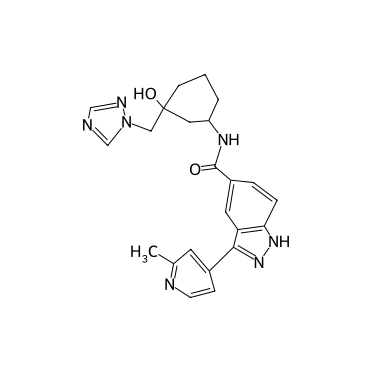 Cc1cc(-c2n[nH]c3ccc(C(=O)NC4CCCC(O)(Cn5cncn5)C4)cc23)ccn1